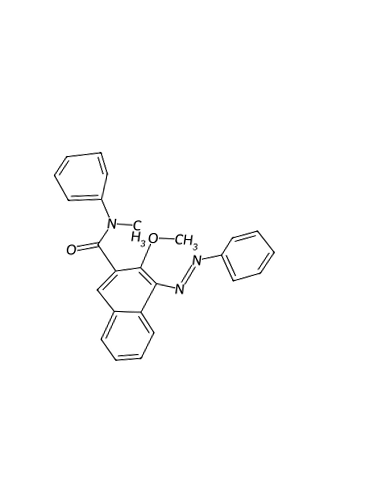 COc1c(C(=O)N(C)c2ccccc2)cc2ccccc2c1N=Nc1ccccc1